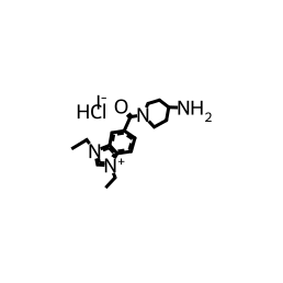 CCn1c[n+](CC)c2ccc(C(=O)N3CCC(N)CC3)cc21.Cl.[I-]